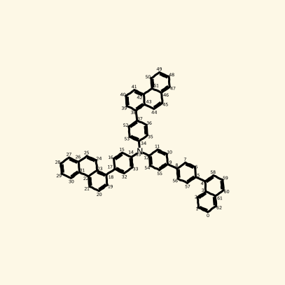 c1ccc2c(-c3ccc(-c4ccc(N(c5ccc(-c6cccc7c6ccc6ccccc67)cc5)c5ccc(-c6cccc7c6ccc6ccccc67)cc5)cc4)cc3)cccc2c1